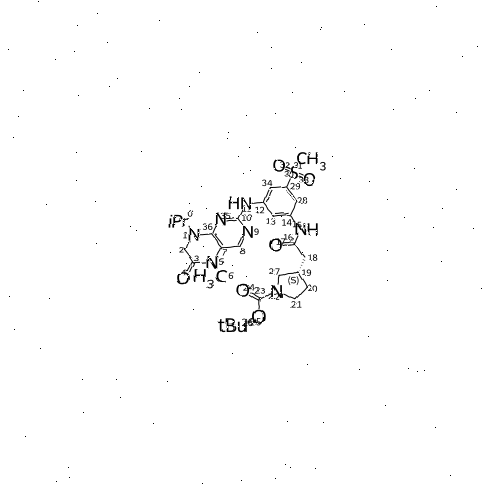 CC(C)N1CC(=O)N(C)c2cnc(Nc3cc(NC(=O)C[C@@H]4CCN(C(=O)OC(C)(C)C)C4)cc(S(C)(=O)=O)c3)nc21